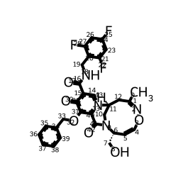 C/C1=N/O/C=C\[C@H](CO)N2C[C@H](C1)n1cc(C(=O)NCc3c(F)cc(F)cc3F)c(=O)c(OCc3ccccc3)c1C2=O